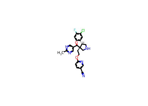 Cc1ncc(C(=O)[C@@]2(CCOc3ccc(C#N)cn3)CNC[C@H]2c2ccc(F)c(Cl)c2)cn1